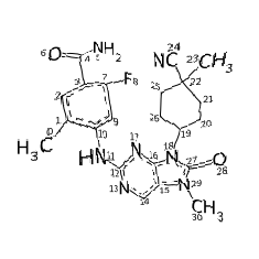 Cc1cc(C(N)=O)c(F)cc1Nc1ncc2c(n1)n(C1CCC(C)(C#N)CC1)c(=O)n2C